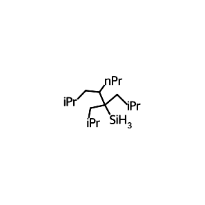 CCCC(CC(C)C)C([SiH3])(CC(C)C)CC(C)C